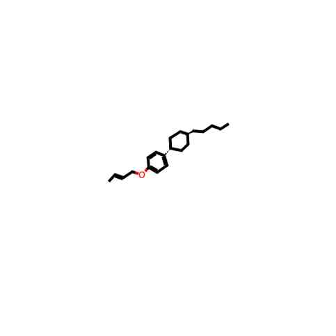 C/C=C/COc1ccc([C@H]2CC[C@H](CCCCC)CC2)cc1